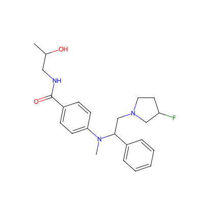 CC(O)CNC(=O)c1ccc(N(C)C(CN2CCC(F)C2)c2ccccc2)cc1